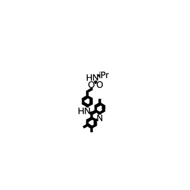 Cc1ccc2nc3cc(C)c(C)cc3c(Nc3ccc(CCOC(=O)NC(C)C)cc3)c2c1